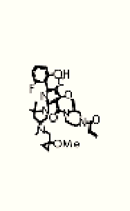 C=CC(=O)N1CCN2C(=O)c3c(N4CC(N(C)CC5(OC)CC5)CC4(C)C)nc(-c4c(O)cccc4F)c(Cl)c3OCC2C1